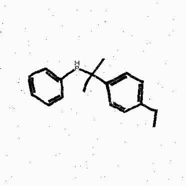 CCc1ccc(C(C)(C)Pc2ccccc2)cc1